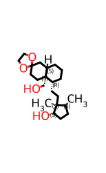 C[C@@H]1CC[C@H](O)[C@@]1(C)CC[C@H]1CCC[C@H]2CC3(CC[C@]12CO)OCCO3